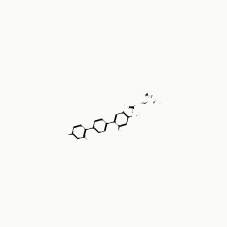 CP(=O)(O)CSc1nc2cc(-c3ccc(-c4ccc(F)cc4F)cc3)c(Cl)cc2[nH]1